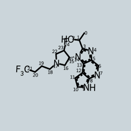 CC(O)c1nc2cnc3[nH]ccc3c2n1[C@@H]1CN(CCCC(F)(F)F)CC1F